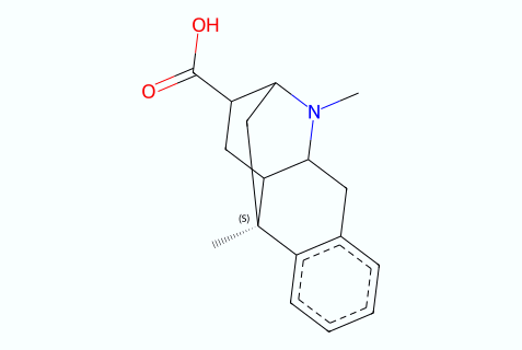 CN1C2C[C@]3(C)c4ccccc4CC1C3CC2C(=O)O